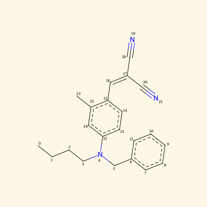 CCCCN(Cc1ccccc1)c1ccc(C=C(C#N)C#N)c(C)c1